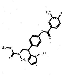 CN(CC(c1ccc(OC(=O)c2ccc(F)c(C(F)(F)F)c2)cc1)c1nccn1C(=O)O)C(=O)OC(C)(C)C